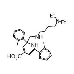 CCN(CC)CCCCNCC1(c2ccccc2C)C=C(C(=O)O)C=C(c2ccccc2C)N1